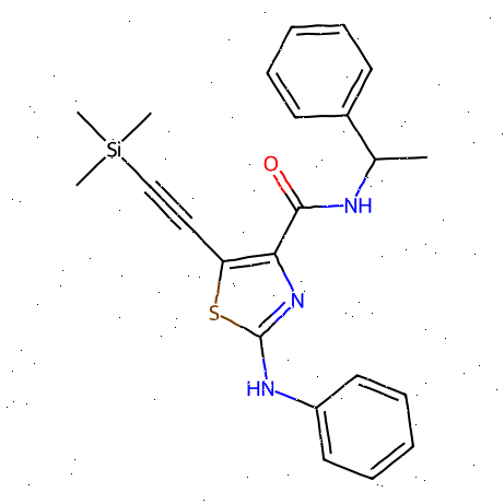 CC(NC(=O)c1nc(Nc2ccccc2)sc1C#C[Si](C)(C)C)c1ccccc1